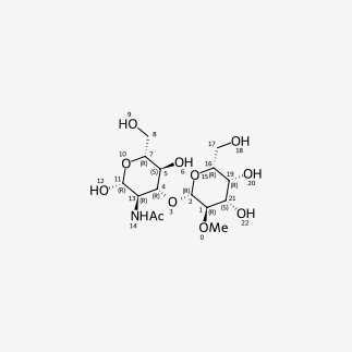 CO[C@H]1[C@H](O[C@H]2[C@H](O)[C@@H](CO)O[C@@H](O)[C@@H]2NC(C)=O)O[C@H](CO)[C@H](O)[C@@H]1O